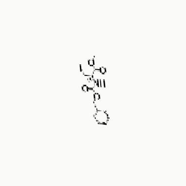 COC(=O)[C@H](CI)NC(=O)OCc1ccccc1